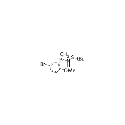 COc1ccc(Br)cc1[C@H](C)NSC(C)(C)C